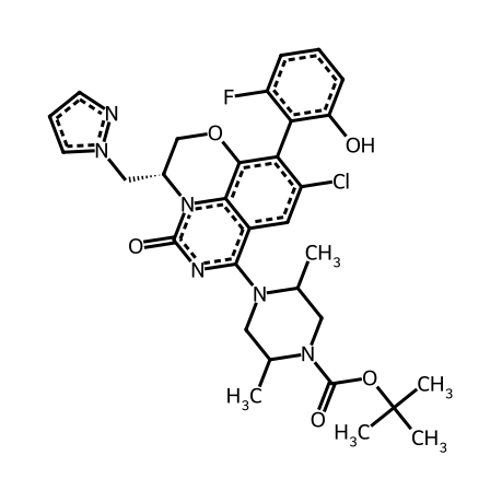 CC1CN(c2nc(=O)n3c4c(c(-c5c(O)cccc5F)c(Cl)cc24)OC[C@H]3Cn2cccn2)C(C)CN1C(=O)OC(C)(C)C